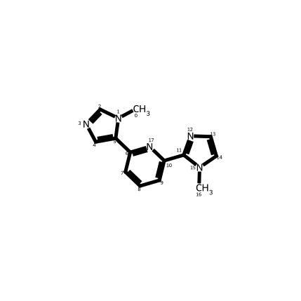 Cn1cncc1-c1cccc(-c2nccn2C)n1